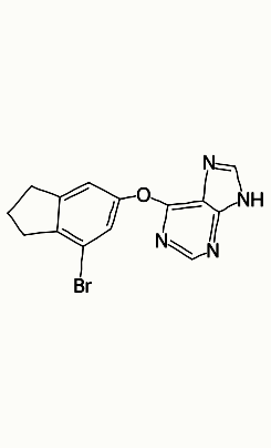 Brc1cc(Oc2ncnc3[nH]cnc23)cc2c1CCC2